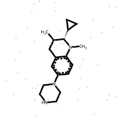 CC1Cc2cc(N3CCNCC3)ccc2N(C)[C@H]1C1CC1